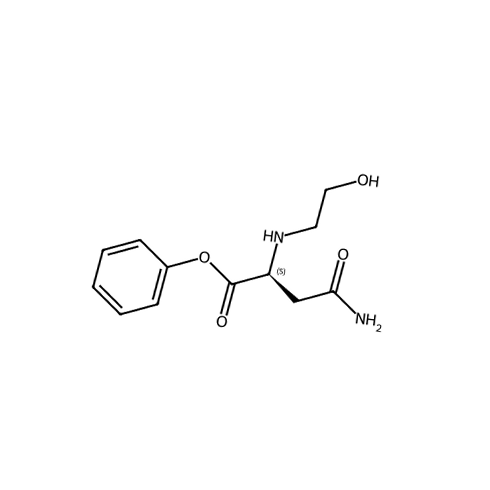 NC(=O)C[C@H](NCCO)C(=O)Oc1ccccc1